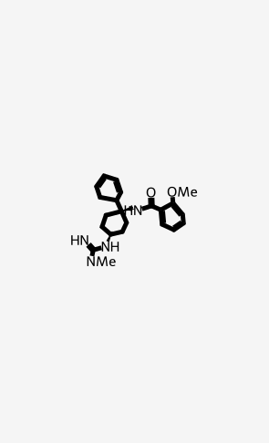 CNC(=N)N[C@H]1CC[C@](CNC(=O)c2ccccc2OC)(C2C=CC=CC2)CC1